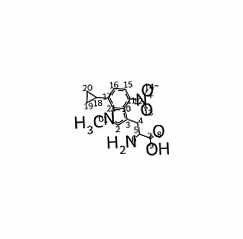 Cn1cc(CC(N)C(=O)O)c2c([N+](=O)[O-])ccc(C3CC3)c21